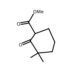 COC(=O)C1CCCC(C)(C)C1=O